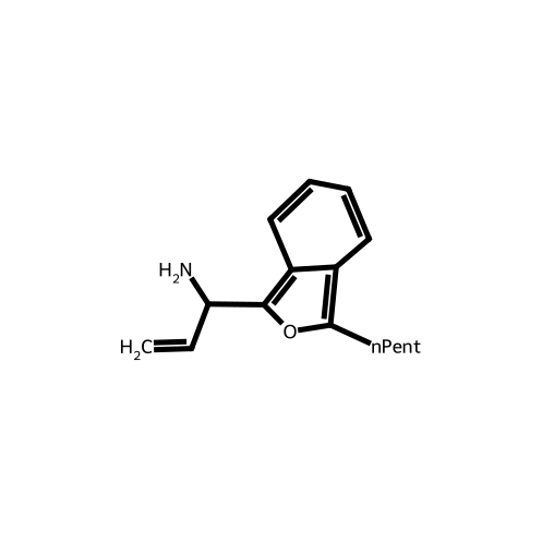 C=CC(N)c1oc(CCCCC)c2ccccc12